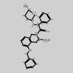 O=C(O)[C@H]1Cc2c(cccc2OCc2ccccc2)CN1C(=O)[C@@H](O[C@H]1CC[C@@H](O)CC1)c1ccccc1